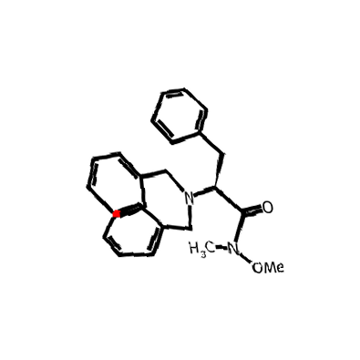 CON(C)C(=O)[C@H](Cc1ccccc1)N(Cc1ccccc1)Cc1ccccc1